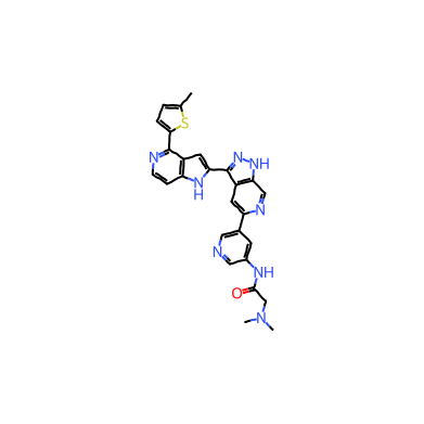 Cc1ccc(-c2nccc3[nH]c(-c4n[nH]c5cnc(-c6cncc(NC(=O)CN(C)C)c6)cc45)cc23)s1